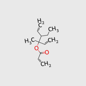 C=CC(=O)OC(C)(C=C)C(C=C)CC